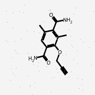 C#CCOc1c(C(N)=O)cc(C)c(C(N)=O)c1C